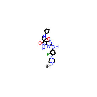 CC(C)N1CCN(c2ccc(Nc3ncc4c(n3)NC(=O)C43CCN(C4CCCC4)C3=O)cc2F)CC1